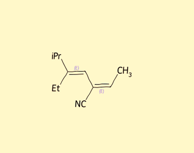 C/C=C(C#N)\C=C(/CC)C(C)C